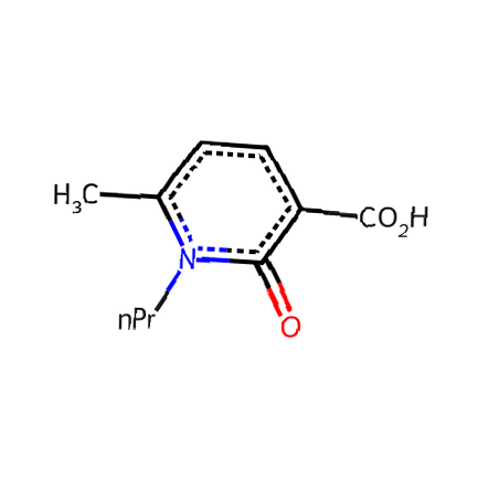 CCCn1c(C)ccc(C(=O)O)c1=O